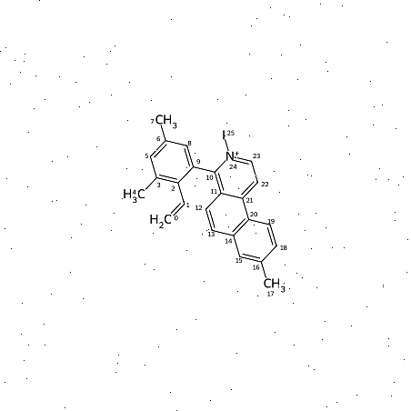 C=Cc1c(C)cc(C)cc1-c1c2ccc3cc(C)ccc3c2cc[n+]1I